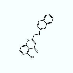 O=c1cc(COc2ccc3ccccc3c2)oc2cccc(O)c12